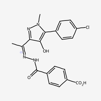 C/C(=N/NC(=O)c1ccc(C(=O)O)cc1)c1nn(C)c(-c2ccc(Cl)cc2)c1O